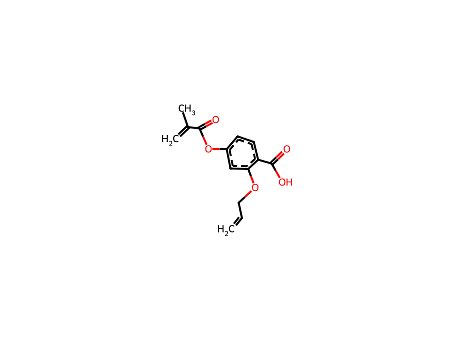 C=CCOc1cc(OC(=O)C(=C)C)ccc1C(=O)O